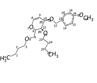 CCCCOCC1OC=C[C@@H](OCc2ccc(OC)cc2)[C@H]1OCCCC